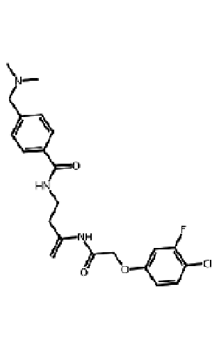 C=C(CCNC(=O)c1ccc(CN(C)C)cc1)NC(=O)COc1ccc(Cl)c(F)c1